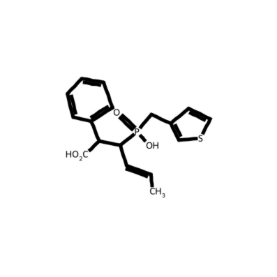 CC=CC(C(C(=O)O)c1ccccc1)P(=O)(O)Cc1ccsc1